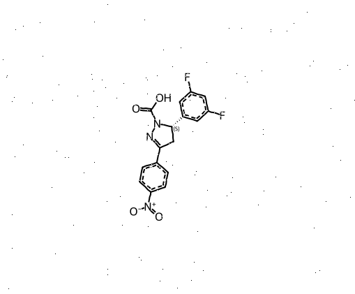 O=C(O)N1N=C(c2ccc([N+](=O)[O-])cc2)C[C@H]1c1cc(F)cc(F)c1